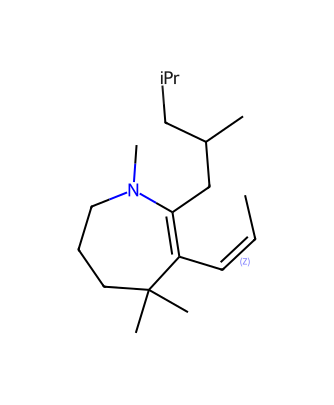 C/C=C\C1=C(CC(C)CC(C)C)N(C)CCCC1(C)C